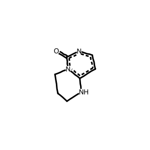 O=c1nccc2n1CCCN2